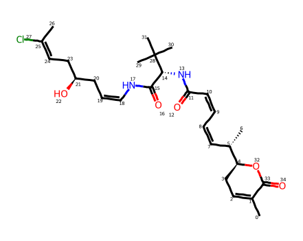 CC1=CC[C@@H]([C@@H](C)/C=C\C=C/C(=O)N[C@H](C(=O)N/C=C\C[C@@H](O)C/C=C(\C)Cl)C(C)(C)C)OC1=O